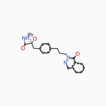 CC(C)OC(Cc1ccc(CCCn2ncc3ccccc3c2=O)cc1)C(N)=O